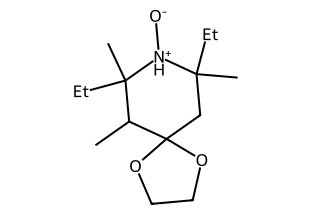 CCC1(C)CC2(OCCO2)C(C)C(C)(CC)[NH+]1[O-]